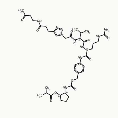 CC(=O)CCNC(=O)CCc1cn(CC(=O)N[C@H](C(=O)N[C@@H](CCCNC(N)=O)C(=O)Nc2ccc(COC(=O)N[C@@H]3CCC[C@H]3OC(=O)C(C)C)cc2)C(C)C)nn1